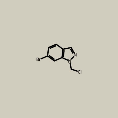 ClCn1ncc2ccc(Br)cc21